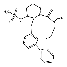 CN1CCCc2c(cccc2-c2ccccc2)CC2C(NS(C)(=O)=O)CCCN2C1=O